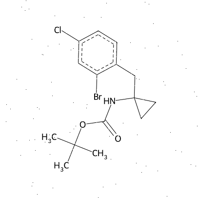 CC(C)(C)OC(=O)NC1(Cc2ccc(Cl)cc2Br)CC1